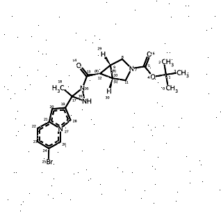 CC(C)(C)OC(=O)N1C[C@@H]2[C@H](C1)[C@H]2C(=O)N1NC1(C)c1cc2ccc(Br)cn2c1